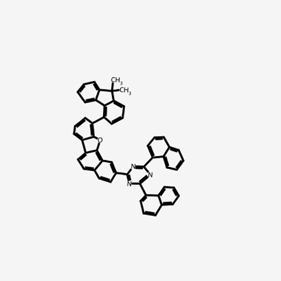 CC1(C)c2ccccc2-c2c(-c3cccc4c3oc3c5cc(-c6nc(-c7cccc8ccccc78)nc(-c7cccc8ccccc78)n6)ccc5ccc43)cccc21